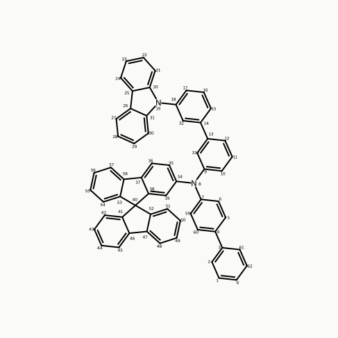 c1ccc(-c2ccc(N(c3cccc(-c4cccc(-n5c6ccccc6c6ccccc65)c4)c3)c3ccc4c(c3)C3(c5ccccc5-c5ccccc53)c3ccccc3-4)cc2)cc1